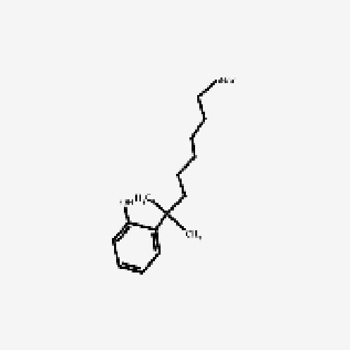 CCCCCCCCCCCCCCCC(C)(C)c1ccccc1O